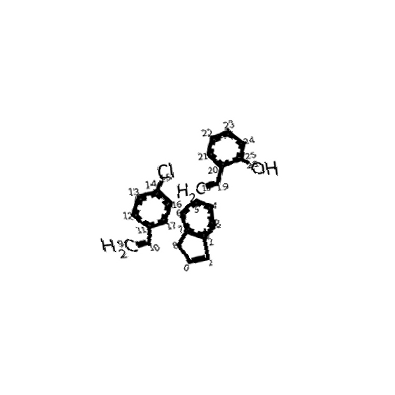 C1=Cc2ccccc2C1.C=Cc1ccc(Cl)cc1.C=Cc1ccccc1O